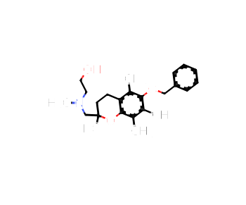 Cc1c(C)c2c(c(C)c1OCc1ccccc1)CCC(C)(CN(C)CCO)O2